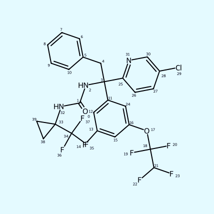 O=C(NC(Cc1ccccc1)(c1cc(F)cc(OC(F)(F)C(F)F)c1)c1ccc(Cl)cn1)NC1(C(F)(F)F)CC1